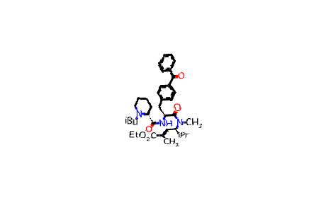 CCOC(=O)/C(C)=C/[C@H](C(C)C)N(C)C(=O)[C@H](Cc1ccc(C(=O)c2ccccc2)cc1)NC(=O)[C@H]1CCCCN1C(C)CC